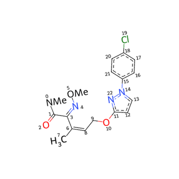 CNC(=O)C(=NOC)C(C)=CCOc1ccn(-c2ccc(Cl)cc2)n1